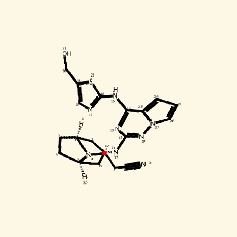 N#CCCN1[C@@H]2CC[C@H]1C[C@H](Nc1nc(Nc3ncc(CO)s3)c3cccn3n1)C2